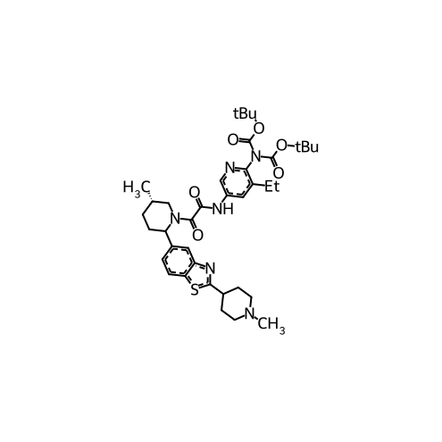 CCc1cc(NC(=O)C(=O)N2C[C@@H](C)CCC2c2ccc3sc(C4CCN(C)CC4)nc3c2)cnc1N(C(=O)OC(C)(C)C)C(=O)OC(C)(C)C